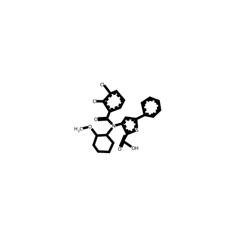 COC1CCCCC1N(C(=O)c1cccc(Cl)c1Cl)c1cc(-c2ccccc2)sc1C(=O)O